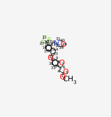 COC(=O)CC1COc2cc(OC3CCc4c3ccc(C(F)(F)F)c4CN3CCOCC3)ccc21